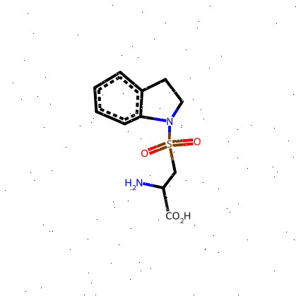 NC(CS(=O)(=O)N1CCc2ccccc21)C(=O)O